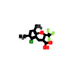 Cc1cc(C)c2c(c1Cl)C=C(C(=O)O)C(C(F)(F)F)O2